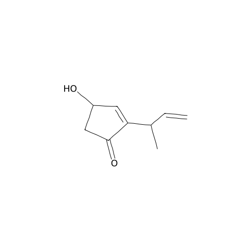 C=CC(C)C1=CC(O)CC1=O